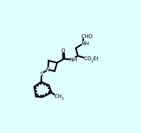 CCOC(=O)C(CNC=O)NC(=O)C1CN(Sc2cccc(C)c2)C1